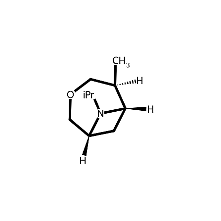 CC(C)N1[C@H]2COC[C@@H](C)[C@@H]1C2